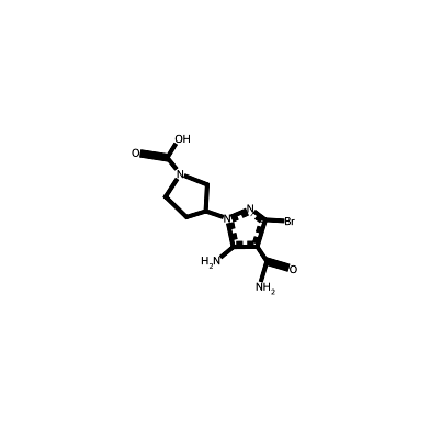 NC(=O)c1c(Br)nn(C2CCN(C(=O)O)C2)c1N